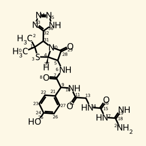 CC1(C)S[C@H]2C(NC(=O)C(NC(=O)CNC(=O)NC(=N)N)c3ccc(O)cc3)C(=O)N2C1c1nnn[nH]1